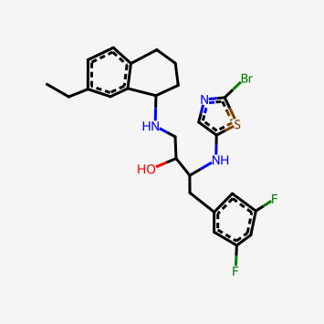 CCc1ccc2c(c1)C(NCC(O)C(Cc1cc(F)cc(F)c1)Nc1cnc(Br)s1)CCC2